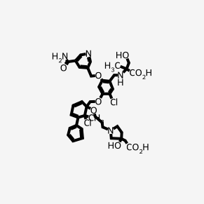 CC(CO)(NCc1cc(Cl)c(OCC2(OCCCN3CCC(O)(CC(=O)O)C3)C=CC=C(c3ccccc3)C2(C)Cl)cc1OCc1cncc(C(N)=O)c1)C(=O)O